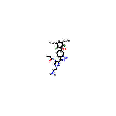 C=CC(=O)Nc1cn(CCN(C)C)nc1-c1n[nH]c2c1CCC[C@](O)(c1c(F)c(OC)cc(OC)c1F)C2